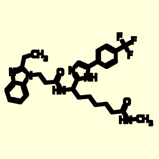 CCc1nc2ccccc2n1CCC(=O)NC(CCCCCC(=O)NC)c1ncc(-c2ccc(C(F)(F)F)cc2)[nH]1